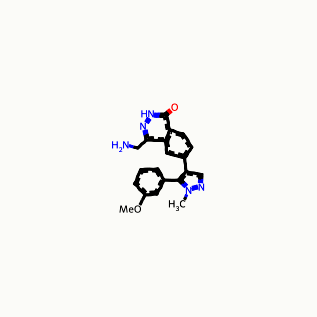 COc1cccc(-c2c(-c3ccc4c(=O)[nH]nc(CN)c4c3)cnn2C)c1